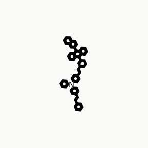 C1=C(/C=C/c2ccc(N(c3ccccc3)c3ccc(/C=C/c4ccccc4)cc3)cc2)C=C(c2c3ccccc3c(-c3ccc4ccccc4c3)c3ccccc23)CC1